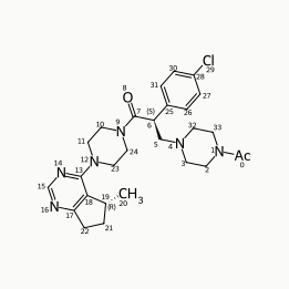 CC(=O)N1CCN(C[C@@H](C(=O)N2CCN(c3ncnc4c3[C@H](C)CC4)CC2)c2ccc(Cl)cc2)CC1